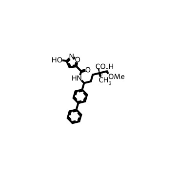 COC[C@](C)(CCC(NC(=O)c1cc(O)no1)c1ccc(-c2ccccc2)cc1)C(=O)O